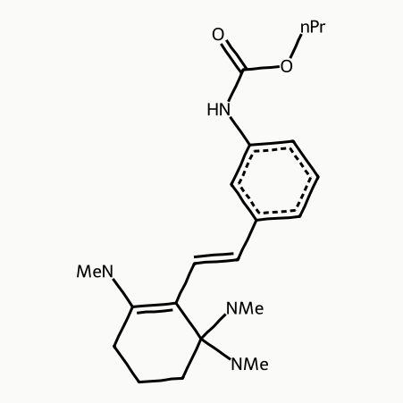 CCCOC(=O)Nc1cccc(C=CC2=C(NC)CCCC2(NC)NC)c1